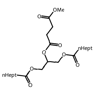 CCCCCCCC(=O)OCC(COC(=O)CCCCCCC)OC(=O)CCC(=O)OC